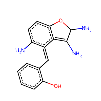 NC1=c2c(ccc(N)c2=Cc2ccccc2O)OC1N